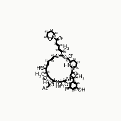 CC(=O)CC[C@H]1C(=O)N[C@@H](C(C)C)C(=O)N[C@@H]([C@@H](C)c2cc(O)cc(F)c2)C(=O)N2CCCC(N2)C(=O)O[C@H](/C(C)=C/C=C/C(=O)N2CCCCO2)C/C=C/C=C/[C@H](O)[C@H](C)[C@H]1O